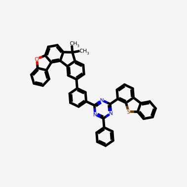 CC1(C)c2ccc(-c3cccc(-c4nc(-c5ccccc5)nc(-c5cccc6c5sc5ccccc56)n4)c3)cc2-c2c1ccc1oc3ccccc3c21